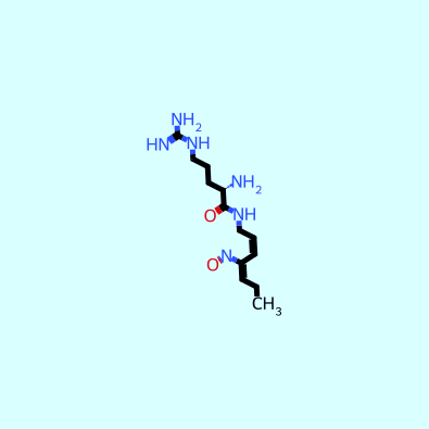 CC/C=C(\C=C/CNC(=O)[C@@H](N)CCCNC(=N)N)N=O